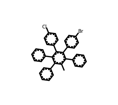 Cc1c(-c2ccccc2)c(-c2ccccc2)c(-c2ccc(Cl)cc2)c(-c2ccc(Br)cc2)c1-c1ccccc1